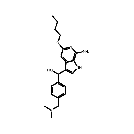 CCCCOc1nc(N)c2[nH]cc(C(O)c3ccc(CN(C)C)cc3)c2n1